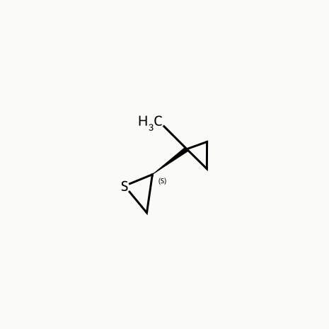 CC1([C@H]2CS2)CC1